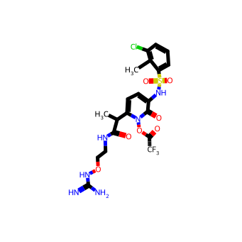 Cc1c(Cl)cccc1S(=O)(=O)Nc1ccc(C(C)C(=O)NCCONC(=N)N)n(OC(=O)C(F)(F)F)c1=O